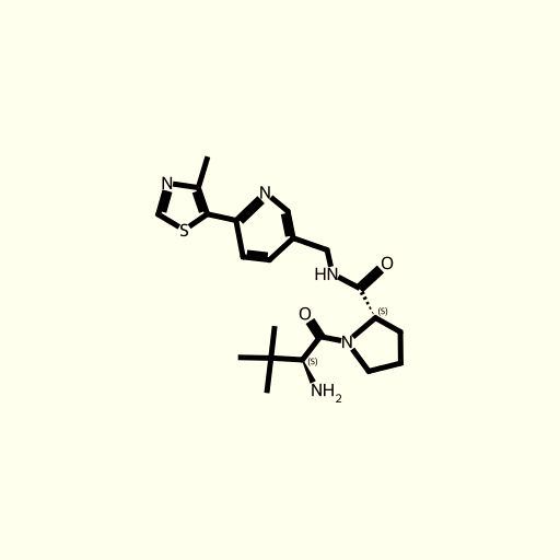 Cc1ncsc1-c1ccc(CNC(=O)[C@@H]2CCCN2C(=O)[C@@H](N)C(C)(C)C)cn1